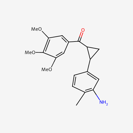 COc1cc(C(=O)C2CC2c2ccc(C)c(N)c2)cc(OC)c1OC